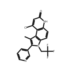 Cc1c(-c2cccnc2)n(CC(F)(F)F)c2ccc3[nH]c(=O)cc(Cl)c3c12